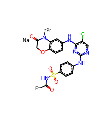 CCCN1C(=O)COc2ccc(Nc3nc(Nc4ccc(S(=O)(=O)NC(=O)CC)cc4)ncc3Cl)cc21.[Na]